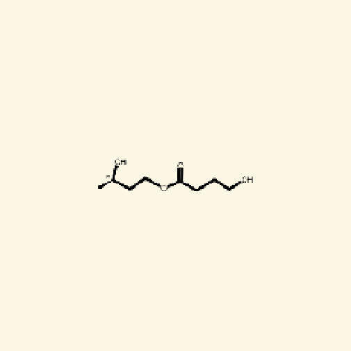 C[C@@H](O)CCOC(=O)CCCO